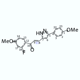 COc1ccc(-c2cc(/C=C/C(=O)c3ccc(OC)cc3F)[nH]n2)cc1